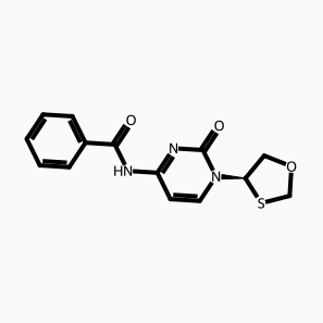 O=C(Nc1ccn([C@H]2COCS2)c(=O)n1)c1ccccc1